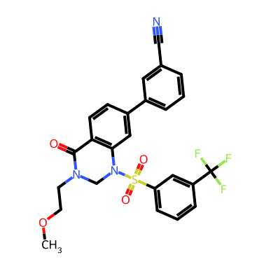 COCCN1CN(S(=O)(=O)c2cccc(C(F)(F)F)c2)c2cc(-c3cccc(C#N)c3)ccc2C1=O